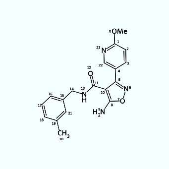 COc1ccc(-c2noc(N)c2C(=O)NCc2cccc(C)c2)cn1